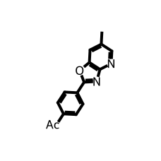 CC(=O)c1ccc(-c2nc3ncc(C)cc3o2)cc1